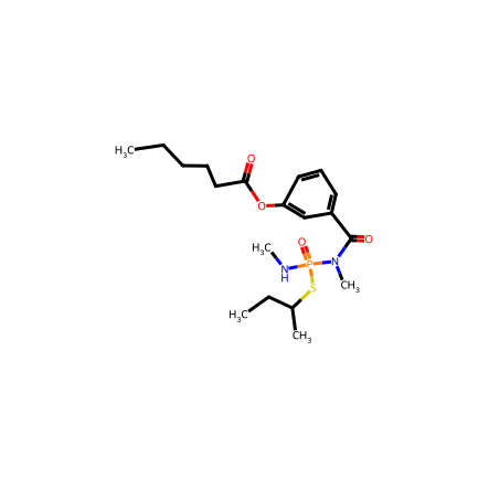 CCCCCC(=O)Oc1cccc(C(=O)N(C)P(=O)(NC)SC(C)CC)c1